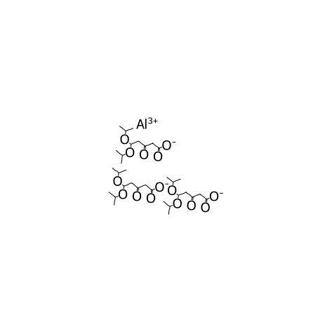 CC(C)OC(CC(=O)CC(=O)[O-])OC(C)C.CC(C)OC(CC(=O)CC(=O)[O-])OC(C)C.CC(C)OC(CC(=O)CC(=O)[O-])OC(C)C.[Al+3]